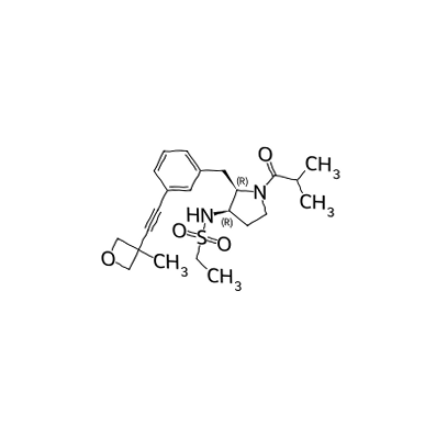 CCS(=O)(=O)N[C@@H]1CCN(C(=O)C(C)C)[C@@H]1Cc1cccc(C#CC2(C)COC2)c1